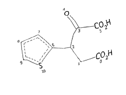 O=C(O)CC(C(=O)C(=O)O)c1cccs1